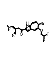 CN(C)/C=C(\C#N)CC(=O)c1cc2c([nH]1)C=CC(Br)C(OCC(F)F)=C2